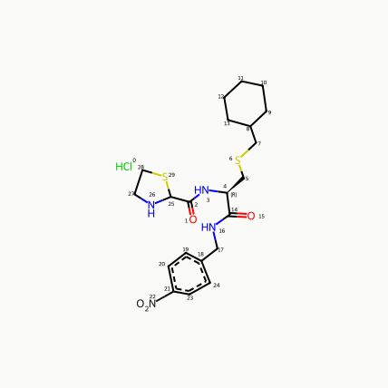 Cl.O=C(N[C@@H](CSCC1CCCCC1)C(=O)NCc1ccc([N+](=O)[O-])cc1)C1NCCS1